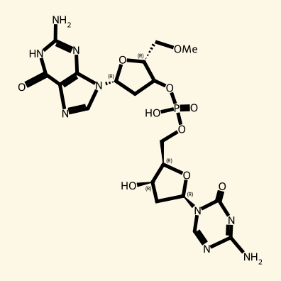 COC[C@H]1O[C@@H](n2cnc3c(=O)[nH]c(N)nc32)CC1OP(=O)(O)OC[C@H]1O[C@@H](n2cnc(N)nc2=O)C[C@H]1O